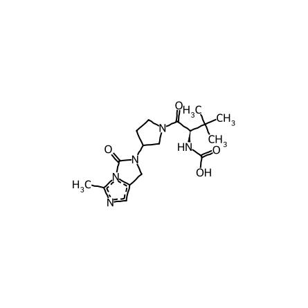 Cc1ncc2n1C(=O)N(C1CCN(C(=O)[C@H](NC(=O)O)C(C)(C)C)C1)C2